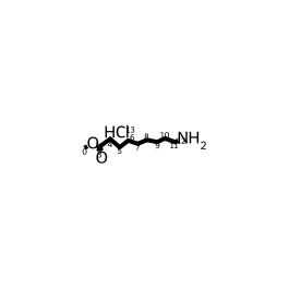 COC(=O)CCCCCCCCN.Cl